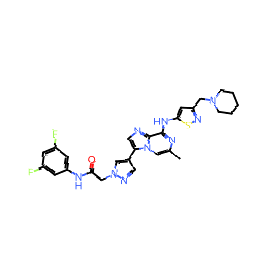 Cc1cn2c(-c3cnn(CC(=O)Nc4cc(F)cc(F)c4)c3)cnc2c(Nc2cc(CN3CCCCC3)ns2)n1